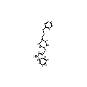 C(CCc1ccccc1)=C1CCN(Cc2c[nH]c3ccccc23)CC1